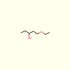 [CH2]CC(O)CCOCC